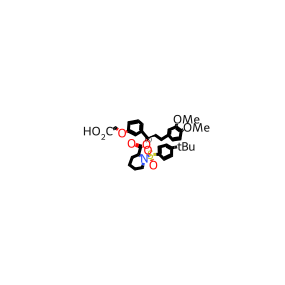 COc1ccc(CC[C@@H](OC(=O)C2CCCCN2S(=O)(=O)c2ccc(C(C)(C)C)cc2)c2cccc(OCC(=O)O)c2)cc1OC